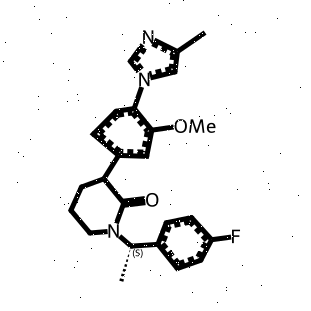 COc1cc(C2CCCN([C@@H](C)c3ccc(F)cc3)C2=O)ccc1-n1cnc(C)c1